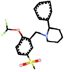 CS(=O)(=O)c1ccc(OC(F)F)c(CN2CCC[CH]C2c2ccccc2)c1